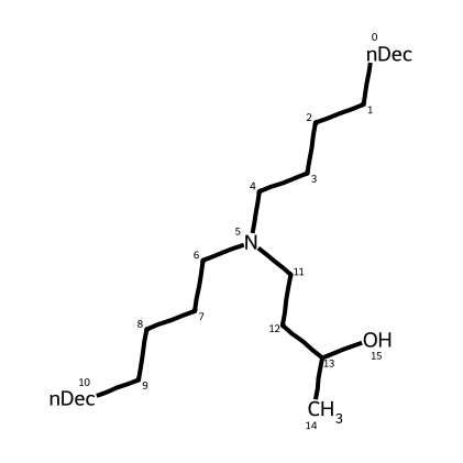 CCCCCCCCCCCCCCN(CCCCCCCCCCCCCC)CCC(C)O